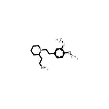 COc1ccc(CCN2CCCCC2CCN)cc1OC